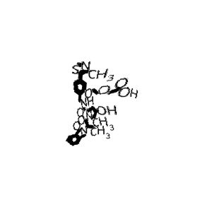 Cc1ncsc1-c1ccc(CNC(=O)[C@@H]2C[C@@H](O)CN2C(=O)C(C(C)C)N2Cc3ccccc3C2=O)c(OCCOCC(=O)O)c1